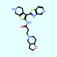 O=C(CCN1CCC2OCCC2C1)Nc1sc2c(c1-c1nc3cnccc3s1)CCNC2